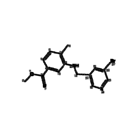 COC(=O)c1ccc(C)c(NCc2cncc(Br)c2)c1